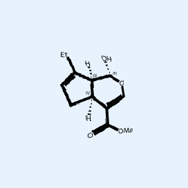 CCC1=CC[C@@H]2C(C(=O)OC)=CO[C@@H](O)[C@H]12